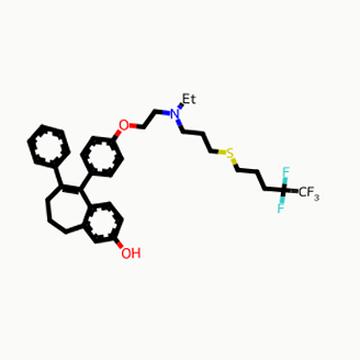 CCN(CCCSCCCC(F)(F)C(F)(F)F)CCOc1ccc(C2=C(c3ccccc3)CCCc3cc(O)ccc32)cc1